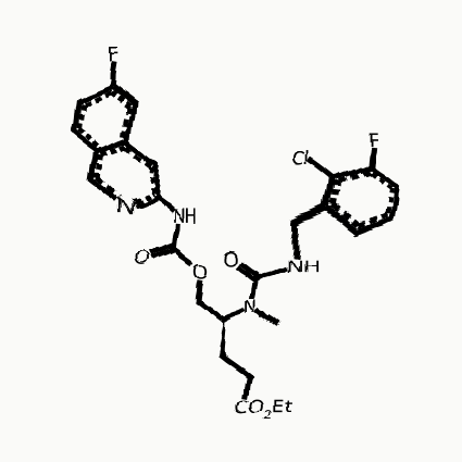 CCOC(=O)CC[C@@H](COC(=O)Nc1cc2cc(F)ccc2cn1)N(C)C(=O)NCc1cccc(F)c1Cl